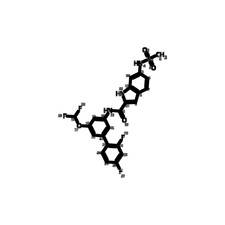 CS(=O)(=O)Nc1ccc2cc(C(=O)Nc3cc(OC(F)F)cc(-c4ccc(F)cc4F)c3)[nH]c2c1